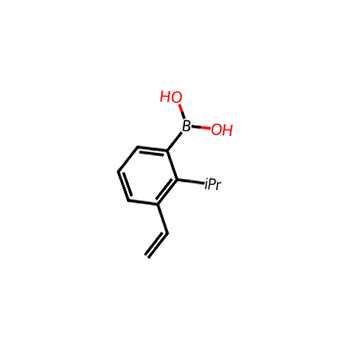 C=Cc1cccc(B(O)O)c1C(C)C